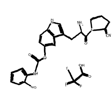 N#CC1CCCN1C(=O)C(N)Cc1c[nH]c2ccc(OC(=O)Nc3ccccc3N=O)cc12.O=C(O)C(F)(F)F